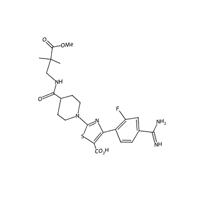 COC(=O)C(C)(C)CNC(=O)C1CCN(c2nc(-c3ccc(C(=N)N)cc3F)c(C(=O)O)s2)CC1